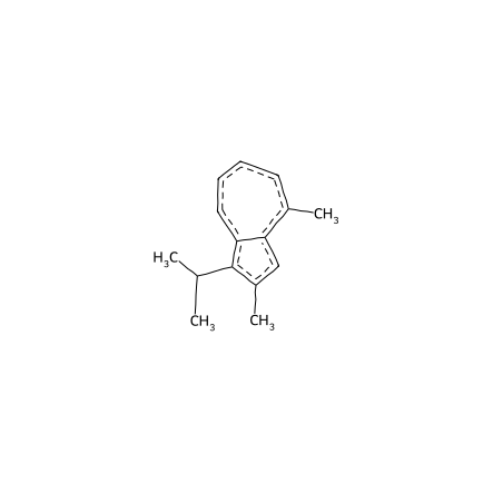 Cc1ccccc2c(C(C)C)c(C)cc1-2